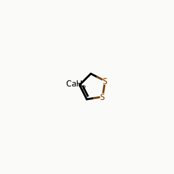 C1=CSSC1.[CaH2]